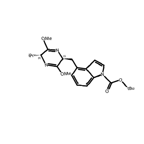 COC1=N[C@H](C(C)C)C(OC)=N[C@H]1Cc1cccc2c1ccn2C(=O)OC(C)(C)C